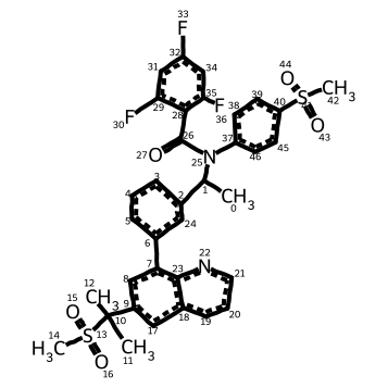 CC(c1cccc(-c2cc(C(C)(C)S(C)(=O)=O)cc3cccnc23)c1)N(C(=O)c1c(F)cc(F)cc1F)c1ccc(S(C)(=O)=O)cc1